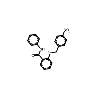 O=C(Nc1ccccc1)c1ccccc1[Se]Cc1ccc([N+](=O)[O-])cc1